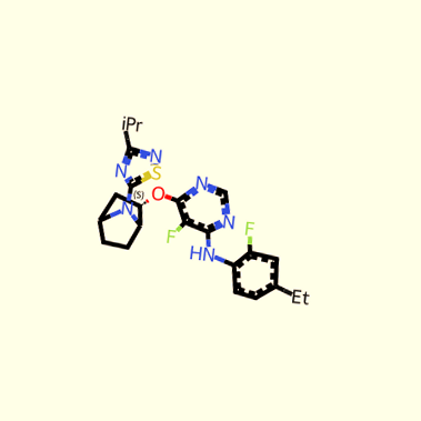 CCc1ccc(Nc2ncnc(O[C@H]3CC4CCC3N4c3nc(C(C)C)ns3)c2F)c(F)c1